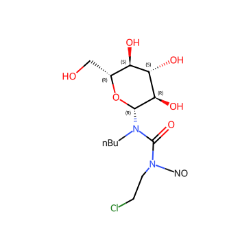 CCCCN(C(=O)N(CCCl)N=O)[C@@H]1O[C@H](CO)[C@@H](O)[C@H](O)[C@H]1O